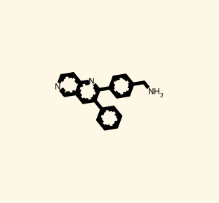 NCc1ccc(-c2nc3ccn[c]c3cc2-c2ccccc2)cc1